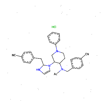 CC(=O)N(Cc1ccc(C#N)cc1)C1CCN(c2ccccc2)CC1N1C=CNC1Cc1ccc(C#N)cc1.Cl